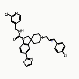 O=C(NCc1ccnc(Cl)c1)N1CC2(CCN(C/C=C/c3ccc(Cl)cc3)CC2)c2cc(-c3nccs3)ccc21